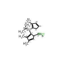 CC1=CC(C)[C]([Zr+2]([C]2=C(C)C=CC2)=[Si](C)C)=C1C.[Cl-].[Cl-]